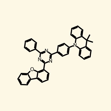 CC1(C)c2ccccc2N(c2ccc(-c3nc(-c4ccccc4)nc(-c4cccc5c4oc4ccccc45)n3)cc2)c2ccccc21